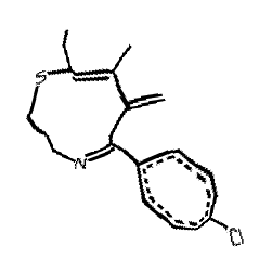 C=C1/C(c2ccc(Cl)cc2)=N\CCS/C(C)=C\1C